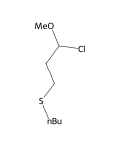 CCCCSCCC(Cl)OC